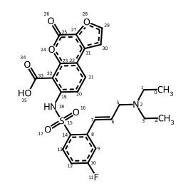 CCN(CC)CC=Cc1cc(F)ccc1S(=O)(=O)Nc1ccc2c(oc(=O)c3occc32)c1C(=O)O